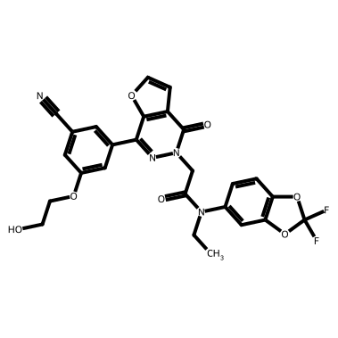 CCN(C(=O)Cn1nc(-c2cc(C#N)cc(OCCO)c2)c2occc2c1=O)c1ccc2c(c1)OC(F)(F)O2